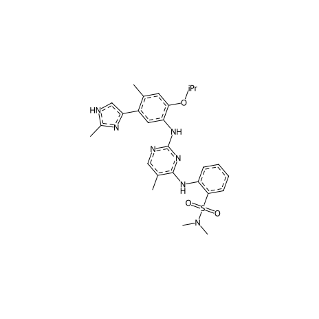 Cc1nc(-c2cc(Nc3ncc(C)c(Nc4ccccc4S(=O)(=O)N(C)C)n3)c(OC(C)C)cc2C)c[nH]1